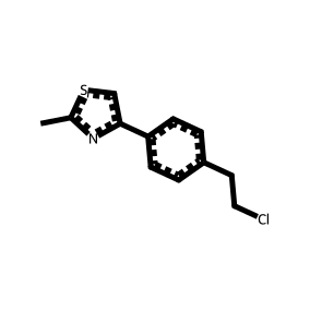 Cc1nc(-c2ccc(CCCl)cc2)cs1